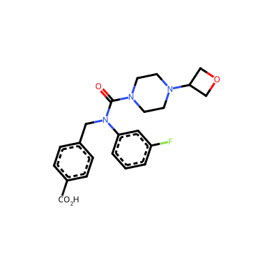 O=C(O)c1ccc(CN(C(=O)N2CCN(C3COC3)CC2)c2cccc(F)c2)cc1